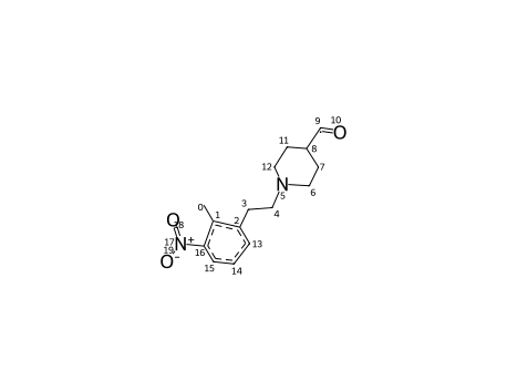 Cc1c(CCN2CCC([C]=O)CC2)cccc1[N+](=O)[O-]